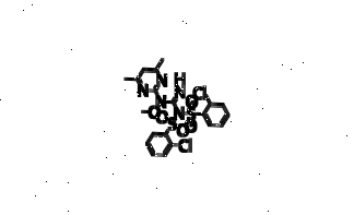 CON(C(=N)N(S(=O)(=O)c1ccccc1Cl)S(=O)(=O)c1ccccc1Cl)c1nc(C)cc(C)n1